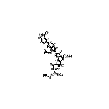 COc1cc(C(=O)N2C[C@H](F)C[C@@H](N(C(=O)O)C(C)(C)C)C2)cn2nc(-c3cc4ccc(-c5ccc6c(c5)C(=O)NC6)nc4n3CC3CC3)c(C)c12